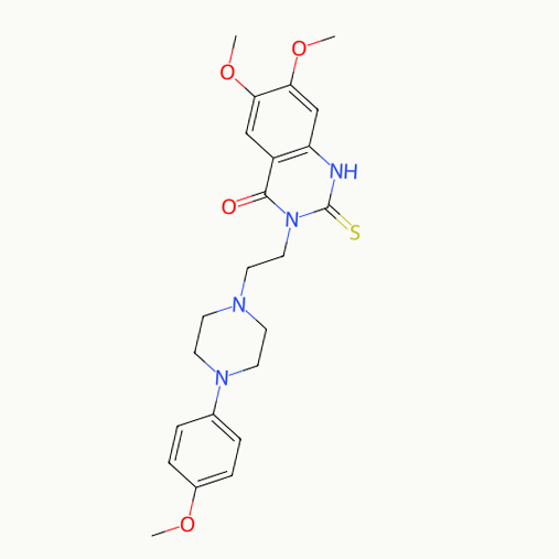 COc1ccc(N2CCN(CCn3c(=S)[nH]c4cc(OC)c(OC)cc4c3=O)CC2)cc1